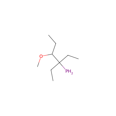 CCC(OC)C(P)(CC)CC